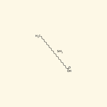 CCCCCCCCCCCCCCCCCCCCCCCC(=O)O.[SrH2]